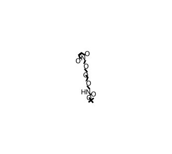 CC(C)(C)OC(=O)NCCOCCOCCOCCN1C(=O)C=CC1=O